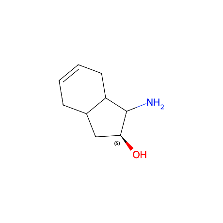 NC1C2CC=CCC2C[C@@H]1O